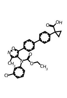 CCOC(=O)N(c1cccc(Cl)c1)c1c(C)noc1-c1ccc(-c2ccc(C3(C(=O)O)CC3)cc2)cc1